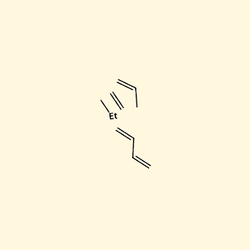 C=C.C=CC.C=CC=C.CCC